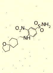 NS(=O)(=O)c1ccc(NC[C@H]2CC[C@@]3(CCCO3)CC2)c([N+](=O)[O-])c1